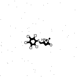 Cn1[nH]c(CSC2C(Cl)=C(Cl)C(Cl)=C(Cl)C2Cl)cc1=O